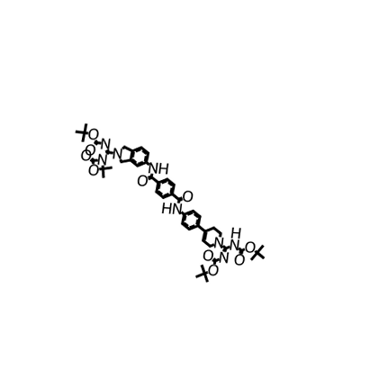 CC(C)(C)OC(=O)/N=C(/NC(=O)OC(C)(C)C)N1CC=C(c2ccc(NC(=O)c3ccc(C(=O)Nc4ccc5c(c4)CN(/C(=N/C(=O)OC(C)(C)C)N4C(=O)OC4(C)C)C5)cc3)cc2)CC1